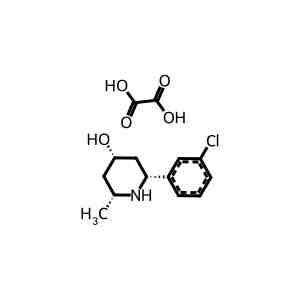 C[C@@H]1C[C@H](O)C[C@H](c2cccc(Cl)c2)N1.O=C(O)C(=O)O